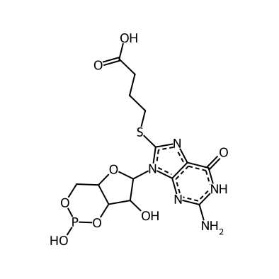 Nc1nc2c(nc(SCCCC(=O)O)n2C2OC3COP(O)OC3C2O)c(=O)[nH]1